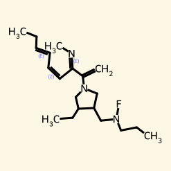 C=C(C(/C=C\C=C\CC)=N/C)N1CC(CC)C(CN(F)CCC)C1